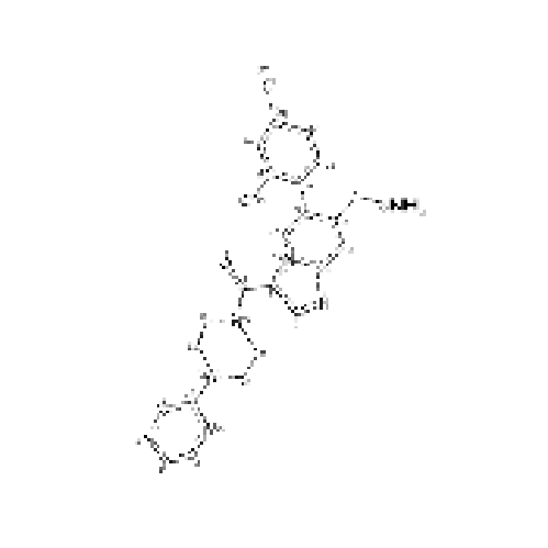 NCc1cc2ncc(C(=O)N3CCN(c4cnccn4)CC3)n2cc1-c1ccc(Cl)cc1Cl